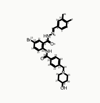 Cc1ccc(/C=N/NC(=O)c2cc(Br)ccc2NC(=O)c2ccc(CN3CCC(O)CC3)cc2)cc1C